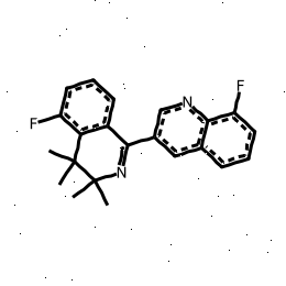 CC1(C)N=C(c2cnc3c(F)cccc3c2)c2cccc(F)c2C1(C)C